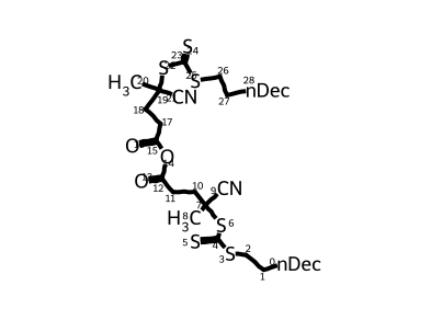 CCCCCCCCCCCCSC(=S)SC(C)(C#N)CCC(=O)OC(=O)CCC(C)(C#N)SC(=S)SCCCCCCCCCCCC